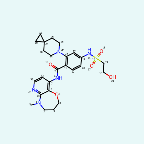 CN1CCCOc2c(NC(=O)c3ccc(NS(=O)(=O)CCO)cc3N3CCC4(CC3)CC4)ccnc21